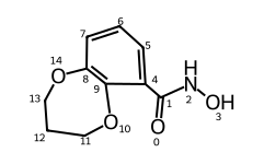 O=C(NO)c1cccc2c1OCCCO2